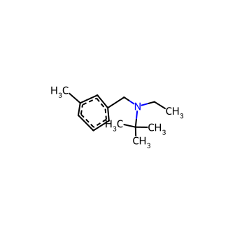 CCN(Cc1cccc(C)c1)C(C)(C)C